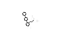 Cc1cc(-c2ccc(O)cc2CCC(=O)O)ccc1-c1ccccc1